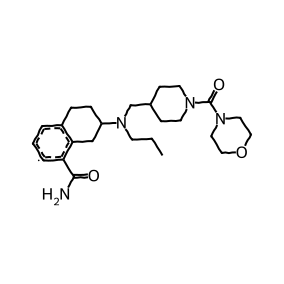 CCCN(CC1CCN(C(=O)N2CCOCC2)CC1)C1CCc2cc[c]c(C(N)=O)c2C1